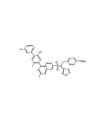 COc1ccc(CN(c2ccon2)S(=O)(=O)c2ccc3c(-c4cc(Cl)c(-c5cccc(F)c5)cc4C)nc(C)cc3c2)cc1